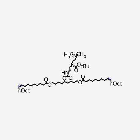 CCCCCCCC/C=C\CCCCCCCC(=O)OCCCCC(CCCCOC(=O)CCCCCCC/C=C\CCCCCCCC)OC(=O)NCCN(CCN(C)C)C(=O)OC(C)(C)C